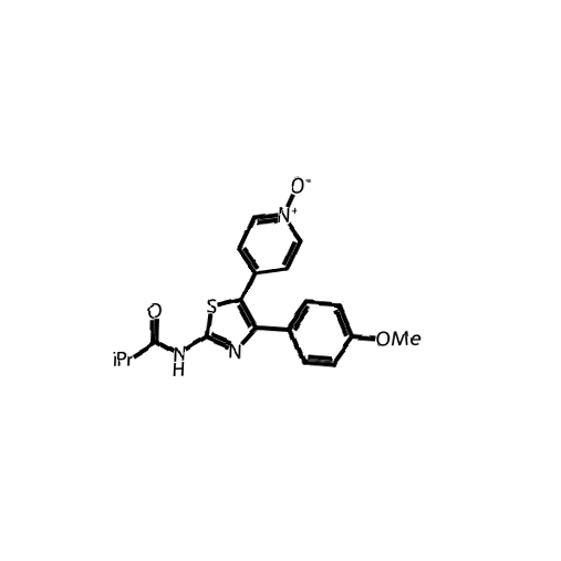 COc1ccc(-c2nc(NC(=O)C(C)C)sc2-c2cc[n+]([O-])cc2)cc1